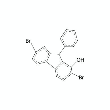 Oc1c(Br)ccc2c1C(c1ccccc1)c1cc(Br)ccc1-2